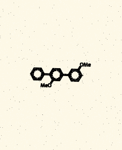 COc1[c]ccc(-c2ccc(-c3ccccc3)c(OC)c2)c1